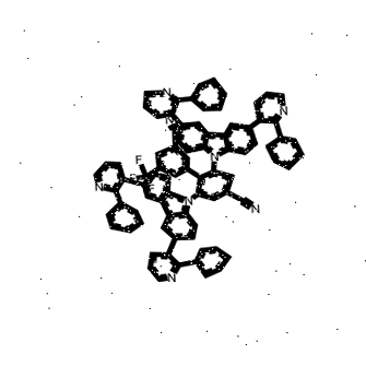 N#Cc1cc(-c2c(-n3c4ccc(-c5cccnc5-c5ccccc5)cc4c4cc(-c5cccnc5-c5ccccc5)ccc43)cc(C#N)cc2-n2c3ccc(-c4cccnc4-c4ccccc4)cc3c3cc(-c4cccnc4-c4ccccc4)ccc32)cc(C(F)(F)F)c1